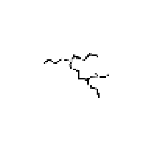 CCCCN(CCCC)CCC[C](OCC)OCC